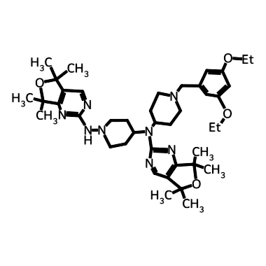 CCOc1cc(CN2CCC(N(c3ncc4c(n3)C(C)(C)OC4(C)C)C3CCN(Nc4ncc5c(n4)C(C)(C)OC5(C)C)CC3)CC2)cc(OCC)c1